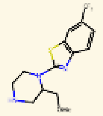 COCC1CNCCN1c1nc2ccc(C(F)(F)F)cc2s1